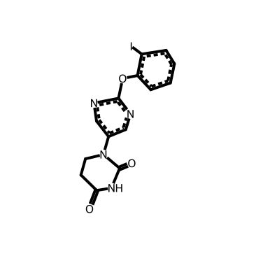 O=C1CCN(c2cnc(Oc3ccccc3I)nc2)C(=O)N1